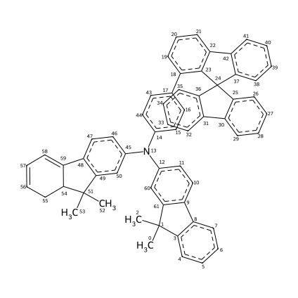 CC1(C)c2ccccc2-c2ccc(N(c3ccc(-c4cccc5c4C4(c6ccccc6-c6ccccc64)c4ccccc4-5)cc3)c3ccc4c(c3)C(C)(C)C3CC=CC=C43)cc21